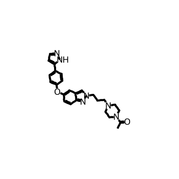 CC(=O)N1CCN(CCCn2cc3cc(Oc4ccc(-c5ccn[nH]5)cc4)ccc3n2)CC1